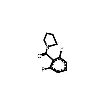 O=C(c1c(F)c[c]cc1F)N1CCCC1